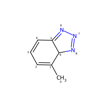 CC1=CC=CC2=NN=NC12